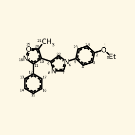 CCOc1ccc(-n2cnc(-c3c(-c4ccccc4)noc3C)c2)cc1